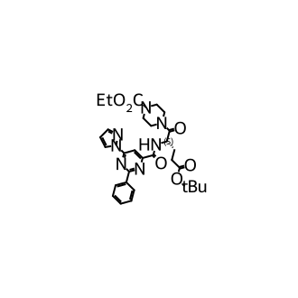 CCOC(=O)N1CCN(C(=O)[C@H](CCC(=O)OC(C)(C)C)NC(=O)c2cc(-n3cccn3)nc(-c3ccccc3)n2)CC1